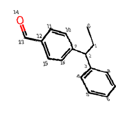 CCC(c1ccccc1)c1ccc(C=O)cc1